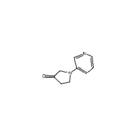 O=C1CCN(c2cccnc2)C1